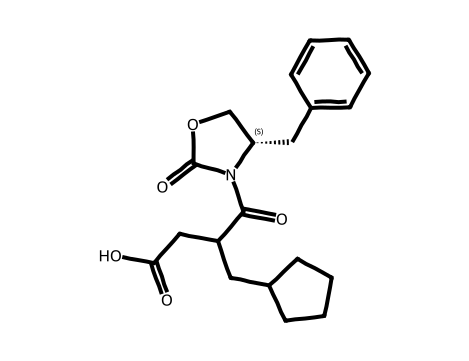 O=C(O)CC(CC1CCCC1)C(=O)N1C(=O)OC[C@@H]1Cc1ccccc1